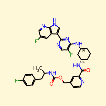 CC(Cc1ccc(F)cc1)NC(=O)OCc1ccnc(C(=O)N[C@H]2CCC[C@@H](Nc3nc(-c4c[nH]c5ncc(F)cc45)ncc3F)C2)c1